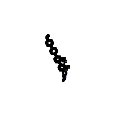 C=CC1CCC(C2CCC(c3ccc(-c4ccc(O/C=C/C)c(F)c4F)c(F)c3)CC2)CC1